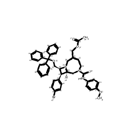 COc1ccc(NC(=O)N2CCC(COC(C)=O)CN3[C@H](COC(c4ccccc4)(c4ccccc4)c4ccccc4)[C@H](c4ccc(Br)cc4)[C@@H]3C2)cc1